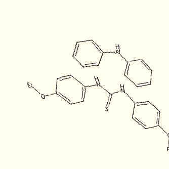 CCOc1ccc(NC(=S)Nc2ccc(OCC)cc2)cc1.c1cc[c]([AlH][c]2ccccc2)cc1